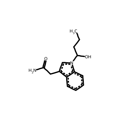 CCCC(O)n1cc(CC(N)=O)c2ccccc21